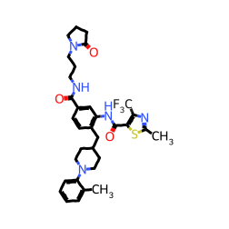 Cc1nc(C(F)(F)F)c(C(=O)Nc2cc(C(=O)NCCCN3CCCC3=O)ccc2CC2CCN(c3ccccc3C)CC2)s1